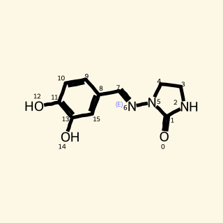 O=C1NCCN1/N=C/c1ccc(O)c(O)c1